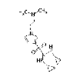 CN(C)CCn1ccc(S(=O)(=O)N(PC2CC2)PC2CC2)n1